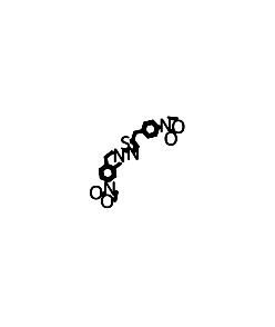 O=C1OCCN1c1ccc(Cc2cnc(N3CCc4ccc(N5CCOC5=O)cc4C3)s2)cc1